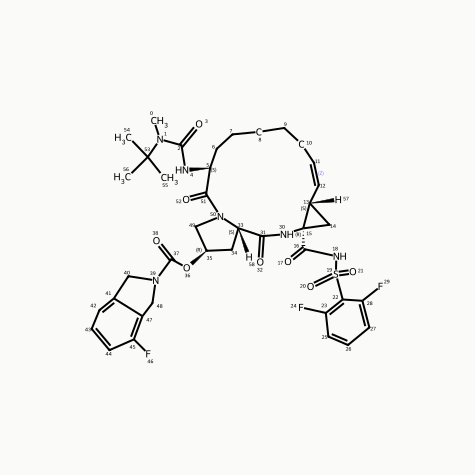 CN(C(=O)N[C@H]1CCCCC/C=C\[C@@H]2C[C@@]2(C(=O)NS(=O)(=O)c2c(F)cccc2F)NC(=O)[C@@H]2C[C@@H](OC(=O)N3Cc4cccc(F)c4C3)CN2C1=O)C(C)(C)C